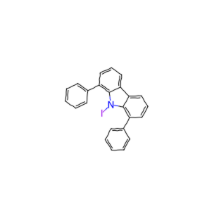 In1c2c(-c3ccccc3)cccc2c2cccc(-c3ccccc3)c21